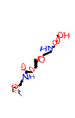 CCOCCNC(=O)COCCOCCNCOOCO